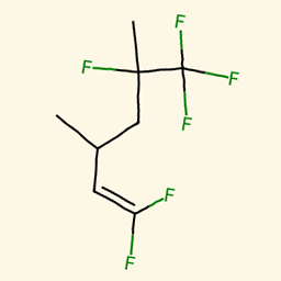 CC(C=C(F)F)CC(C)(F)C(F)(F)F